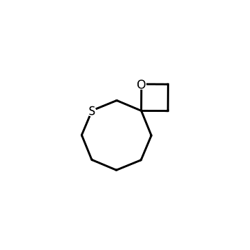 C1CCSCC2(CC1)CCO2